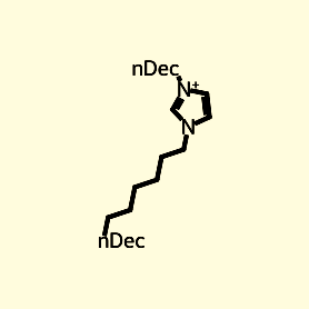 CCCCCCCCCCCCCCCCn1cc[n+](CCCCCCCCCC)c1